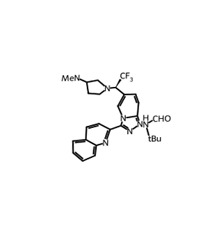 CC(C)(C)NC=O.CNC1CCN([C@H](c2ccc3nnc(-c4ccc5ccccc5n4)n3c2)C(F)(F)F)C1